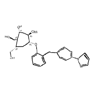 OC[C@H]1C[C@@H](Oc2ccccc2Cc2ccc(-n3cccn3)cc2)[C@H](O)[C@@H](O)[C@@H]1O